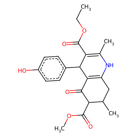 CCOC(=O)C1=C(C)NC2=C(C(=O)C(C(=O)OC)C(C)C2)C1c1ccc(O)cc1